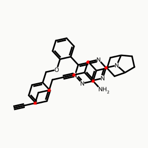 C#CCCCCC#Cc1cnc(N2C3CCC2CC(c2cc(-c4ccccc4OCc4ccccc4)nnc2N)C3)nc1